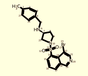 Cc1ccc(CN[C@H]2CCN(S(=O)(=O)c3cccc4cncc(Br)c34)C2)cc1